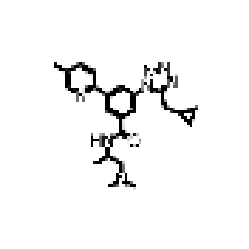 Cc1ccc(-c2cc(C(=O)NC(C)CN(C)C)cc(-n3nnnc3CC3CC3)c2)nc1